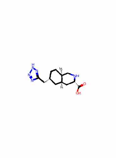 O=C(O)[C@@H]1C[C@H]2C[C@H](Cc3nn[nH]n3)CC[C@H]2CN1